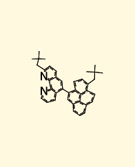 CC(C)(C)Cc1ccc2cc(-c3cc4cccc5ccc6c(CC(C)(C)C)ccc3c6c54)c3cccnc3c2n1